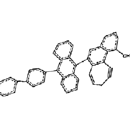 Oc1cccc2cc(-c3c4ccccc4c(-c4ccc(-c5ccccc5)cc4)c4ccccc34)c3c(c12)C#CCC=C3